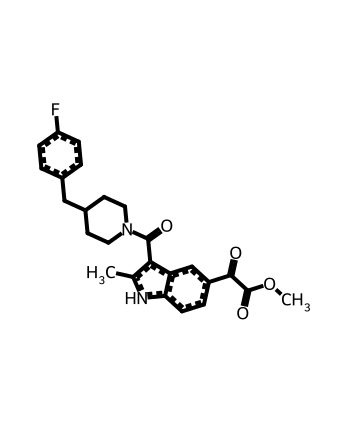 COC(=O)C(=O)c1ccc2[nH]c(C)c(C(=O)N3CCC(Cc4ccc(F)cc4)CC3)c2c1